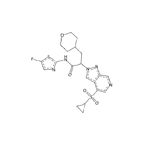 O=C(Nc1ncc(F)s1)C(CC1CCOCC1)n1cc2c(S(=O)(=O)C3CC3)cncc2n1